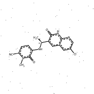 C[C@H](Nc1ccc(C#N)n(C)c1=O)c1cc2cc(Cl)cnc2[nH]c1=O